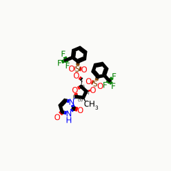 C[C@H]1[C@H](OS(=O)(=O)c2ccccc2C(F)(F)F)[C@@H](COS(=O)(=O)c2ccccc2C(F)(F)F)O[C@H]1n1ccc(=O)[nH]c1=O